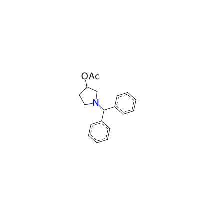 CC(=O)OC1CCN(C(c2ccccc2)c2ccccc2)C1